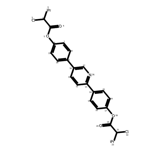 CC(C)C(Cl)C(=O)Oc1ccc(-c2ccc(-c3ccc(OC(=O)C(Cl)C(C)C)cc3)nc2)cc1